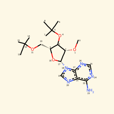 CO[C@H]1C(OC(C)(C)C)[C@@H](COC(C)(C)C)O[C@H]1n1cnc2c(N)ncnc21